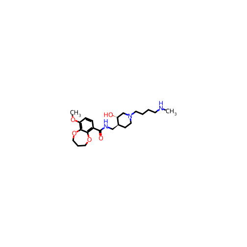 CNCCCCN1CC[C@@H](CNC(=O)c2ccc(OC)c3c2OCCCO3)[C@H](O)C1